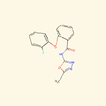 Cc1nnc(NC(=O)c2ccccc2Oc2ccccc2F)o1